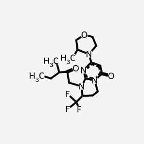 CCC(C)C(=O)CN1c2nc(N3CCOCC3C)cc(=O)n2CCC1C(F)(F)F